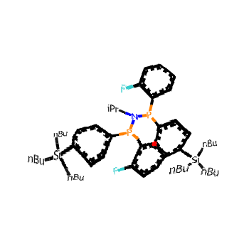 CCCC[Si](CCCC)(CCCC)c1ccc(P(c2ccccc2F)N(C(C)C)P(c2ccc([Si](CCCC)(CCCC)CCCC)cc2)c2ccccc2F)cc1